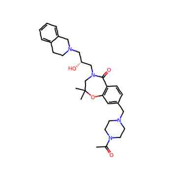 CC(=O)N1CCN(Cc2ccc3c(c2)OC(C)(C)CN(C[C@H](O)CN2CCc4ccccc4C2)C3=O)CC1